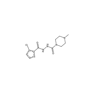 CN1CCN(C(=O)NNC(=O)c2sccc2Cl)CC1